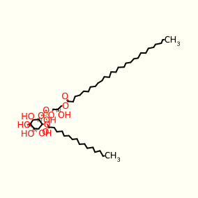 CCCCCCCCCCCCCCCCCCCCCCCCCCCC(=O)OC[C@H](O)COP(=O)(O)O[C@@H]1C(OC(=O)CCCCCCCCCCCCCCC)C(O)[C@@H](O)[C@@H](O)C1O